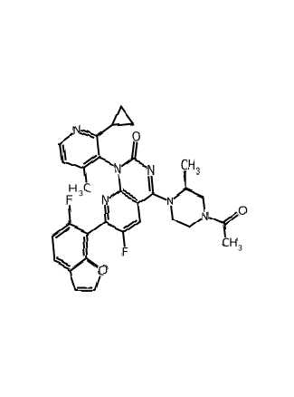 CC(=O)N1CCN(c2nc(=O)n(-c3c(C)ccnc3C3CC3)c3nc(-c4c(F)ccc5ccoc45)c(F)cc23)[C@@H](C)C1